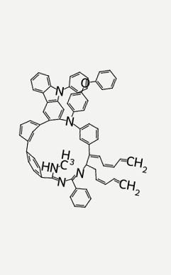 C=C/C=C\C=C1\c2cccc(c2)N(c2ccc(Oc3ccccc3)cc2)c2cc3c(cc2-c2cccc(c2)-c2ccc(cc2)/C(NC)=N/C(c2ccccc2)=N\C1C/C=C\C=C)c1ccccc1n3-c1ccccc1